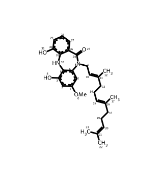 COc1cc(O)c2c(c1)N(C/C=C(\C)CC/C=C(\C)CCC=C(C)C)C(=O)c1cccc(O)c1N2